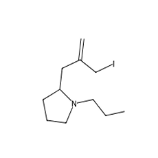 C=C(CI)CC1CCCN1CCC